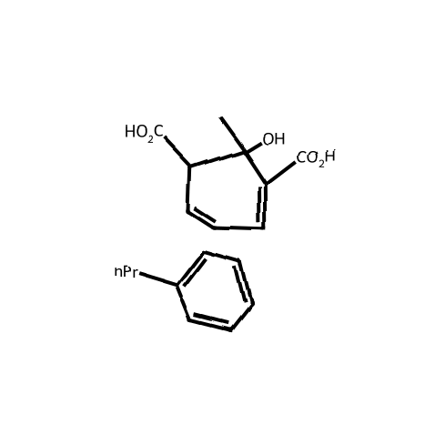 CC1(O)C(C(=O)O)=CC=CC1C(=O)O.CCCc1ccccc1